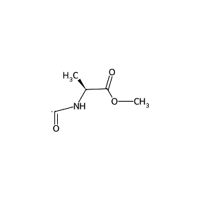 COC(=O)[C@H](C)N[C]=O